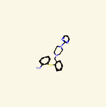 Nc1ccccc1Sc1ccccc1CN1CCN(c2ncccn2)CC1